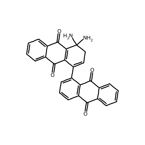 NC1(N)CC=C(c2cccc3c2C(=O)c2ccccc2C3=O)C2=C1C(=O)c1ccccc1C2=O